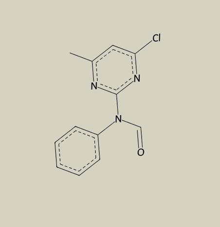 Cc1cc(Cl)nc(N(C=O)c2ccccc2)n1